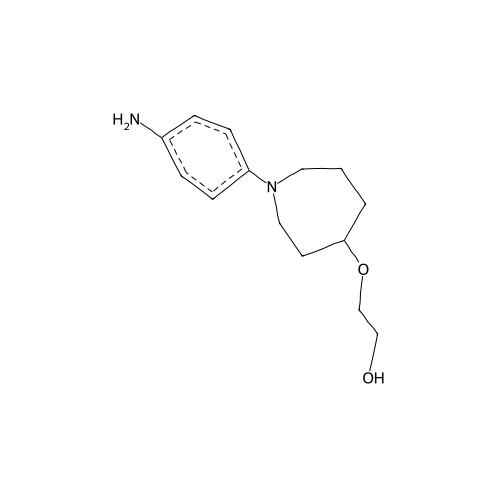 Nc1ccc(N2CCCC(OCCO)CC2)cc1